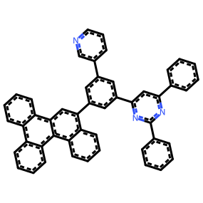 c1ccc(-c2cc(-c3cc(-c4cccnc4)cc(-c4cc5c6ccccc6c6ccccc6c5c5ccccc45)c3)nc(-c3ccccc3)n2)cc1